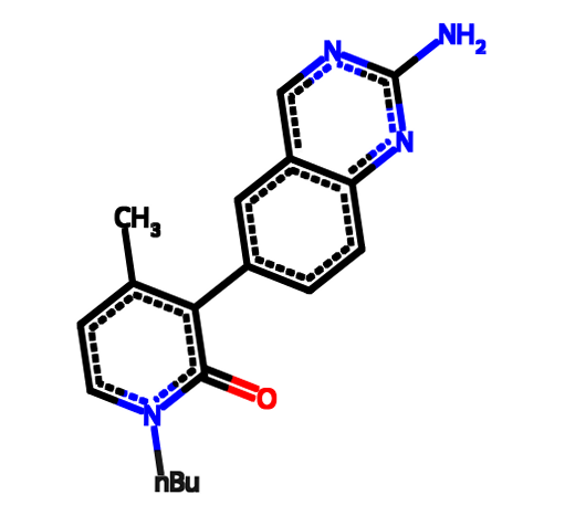 CCCCn1ccc(C)c(-c2ccc3nc(N)ncc3c2)c1=O